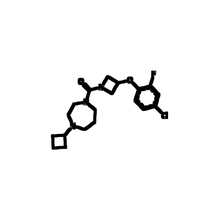 O=C(N1CCCN(C2CCC2)CC1)N1CC(Oc2ccc(Cl)cc2F)C1